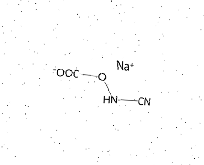 N#CNOC(=O)[O-].[Na+]